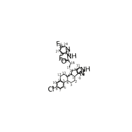 C[C@]12CCC3c4ccc(Cl)cc4CCC3C1[C@H](CCC(=O)Nc1ncc(F)cc1F)c1c[nH]nc12